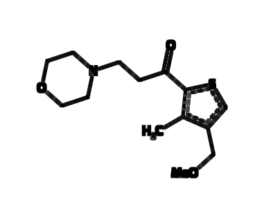 COCc1csc(C(=O)CCN2CCOCC2)c1C